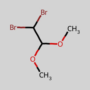 COC(OC)C(Br)Br